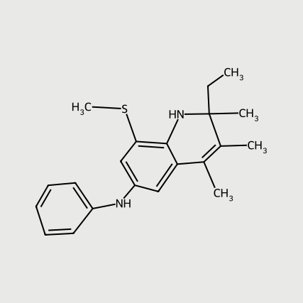 CCC1(C)Nc2c(SC)cc(Nc3ccccc3)cc2C(C)=C1C